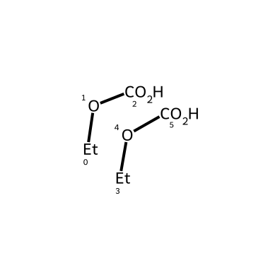 CCOC(=O)O.CCOC(=O)O